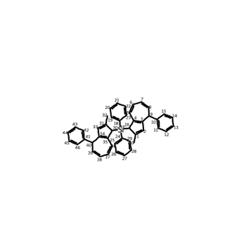 CC1=CC2=C(C=CC=CC2c2ccccc2)C1[Si](c1ccccc1)(c1ccccc1)C1C(C)=CC2=C1C=CC=CC2c1ccccc1